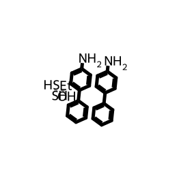 CCO.Nc1ccc(-c2ccccc2)cc1.Nc1ccc(-c2ccccc2)cc1.SS